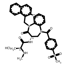 CN[C@@H](C)C(=O)N[C@H]1CN(C(=O)c2ccc(S(C)(=O)=O)cc2)c2ccccc2N(Cc2c(C)ccc3ccccc23)C1=O.Cl